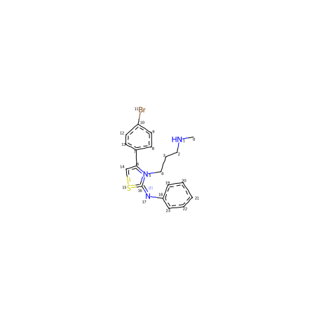 CNCCCn1c(-c2ccc(Br)cc2)cs/c1=N/c1ccccc1